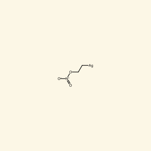 O=[N+]([O-])OC[CH2][Ag]